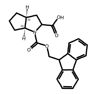 O=C(O)C1C[C@@H]2CCC[C@@H]2N1C(=O)OCC1c2ccccc2-c2ccccc21